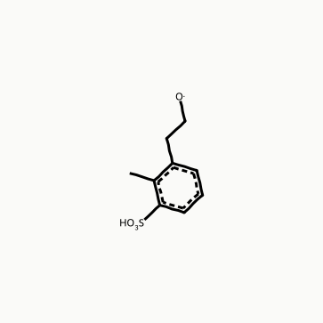 Cc1c(CC[O])cccc1S(=O)(=O)O